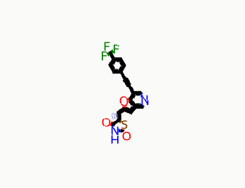 O=C1NC(=O)/C(=C/c2cc3cncc(C#Cc4ccc(C(F)(F)F)cc4)c3o2)S1